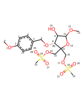 COc1ccc(CO[C@@H]2C(O)C(OC)OC2(COS(C)(=O)=O)COS(C)(=O)=O)cc1